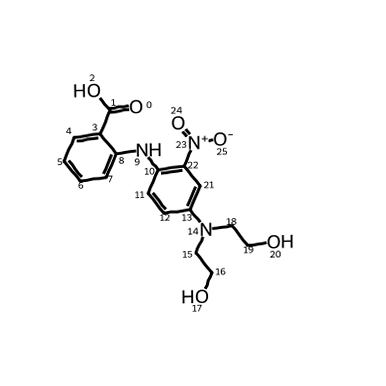 O=C(O)c1ccccc1Nc1ccc(N(CCO)CCO)cc1[N+](=O)[O-]